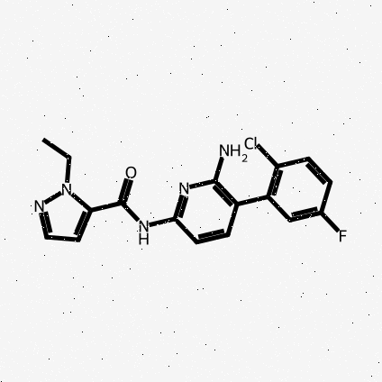 CCn1nccc1C(=O)Nc1ccc(-c2cc(F)ccc2Cl)c(N)n1